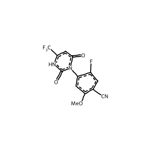 COc1cc(-n2c(=O)cc(C(F)(F)F)[nH]c2=O)c(F)cc1C#N